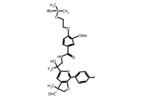 COc1cc(C(=O)NCC(O)(c2cc3c(c(-c4ccc(F)cc4)n2)OC[C@]3(C)C=O)C(F)(F)F)ccc1OCCO[Si](C)(C)C(C)(C)C